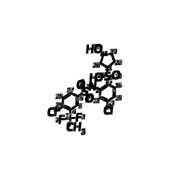 CC(F)(F)c1cc(S(=O)(=O)Nc2cc(Cl)ccc2S(=O)(=O)C2CCC(O)C2)ccc1Cl